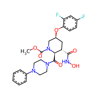 COC(=O)N1C[C@@H](Oc2ccc(F)cc2F)C[C@H](C(=O)NO)[C@H]1C(=O)N1CCN(c2ccccc2)CC1